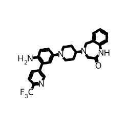 Nc1ccc(N2CCC(N3CC(=O)Nc4ccccc4C3)CC2)cc1-c1ccc(C(F)(F)F)nc1